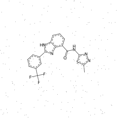 Cc1nnc(NC(=O)c2cccc3[nH]c(-c4cccc(C(F)(F)F)c4)nc23)s1